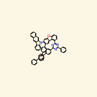 c1ccc(-c2ccc(-c3ccc(-c4nc(-c5ccccc5)nc(-c5cccc6oc7cc(-n8c9ccccc9c9cc%10ccccc%10cc98)c(-c8ccc(-c9ccccc9)cc8)cc7c56)n4)cc3)cc2)cc1